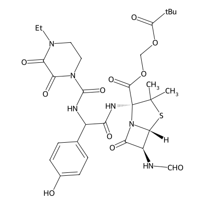 CCN1CCN(C(=O)NC(C(=O)N[C@@]2(C(=O)OCOC(=O)C(C)(C)C)N3C(=O)[C@H](NC=O)[C@H]3SC2(C)C)c2ccc(O)cc2)C(=O)C1=O